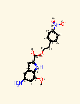 COc1cc(N)cc2cc(C(=O)OCCc3ccc([N+](=O)[O-])cc3)[nH]c12